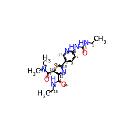 CCNC(=O)Nc1ccc(-c2nc(C(=O)NCC)c(C(=O)N(C)C)s2)cn1